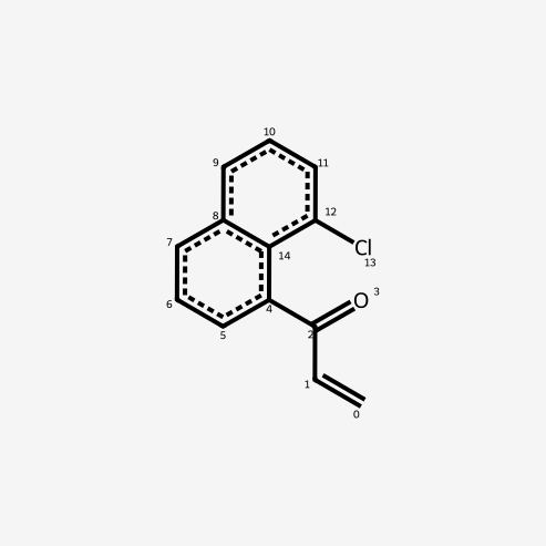 C=CC(=O)c1cccc2cccc(Cl)c12